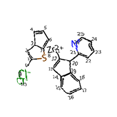 CC1=CC2C=CC=C2S1.[Cl-].[Cl-].[Zr+2][C]1=Cc2ccccc2C1c1ccccn1